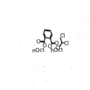 CCCCCCCCOC(=O)c1ccccc1C(=O)OCCCCCCCC.ClCC(Cl)Cl